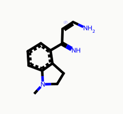 CN1CCc2c(C(=N)/C=C\N)cccc21